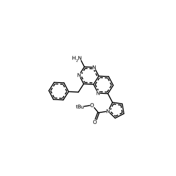 CC(C)(C)OC(=O)n1cccc1-c1ccc2nc(N)nc(Cc3ccccc3)c2n1